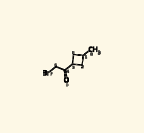 CC1CC(C(=O)CBr)C1